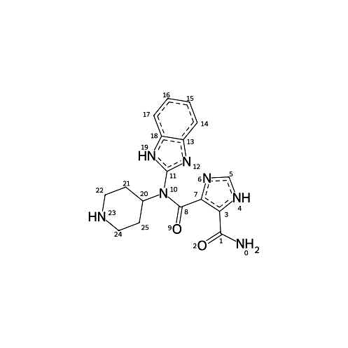 NC(=O)c1[nH]cnc1C(=O)N(c1nc2ccccc2[nH]1)C1CCNCC1